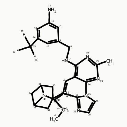 COC1(c2cc3c(NCc4cc(N)cc(C(F)(F)F)c4)nc(C)nc3n3ccnc23)CC2CC(C1)N2C(C)C